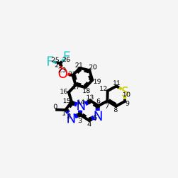 Cc1nc2cnc(C3=CCSCC3)cn2c1Cc1ccccc1OC(F)F